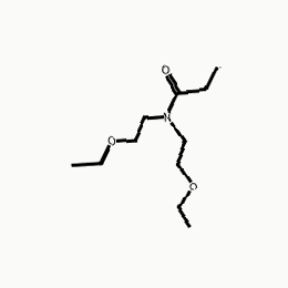 [CH2]CC(=O)N(CCOCC)CCOCC